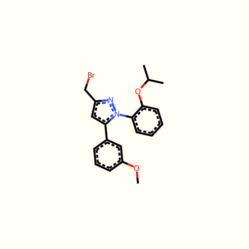 COc1cccc(-c2cc(CBr)nn2-c2ccccc2OC(C)C)c1